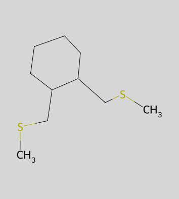 CSCC1CCCCC1CSC